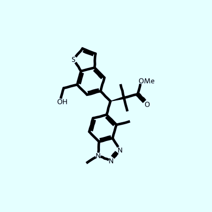 COC(=O)C(C)(C)[C@H](c1cc(CO)c2sccc2c1)c1ccc2c(nnn2C)c1C